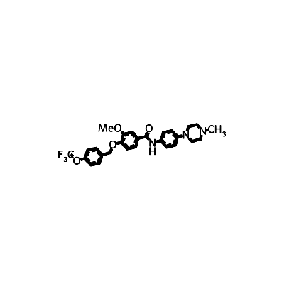 COc1cc(C(=O)Nc2ccc(N3CCN(C)CC3)cc2)ccc1OCc1ccc(OC(F)(F)F)cc1